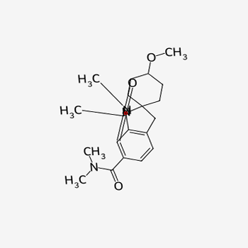 COC1CCC2(CC1)Cc1ccc(C(=O)N(C)C)cc1C21N=C(C)N(C)C1=O